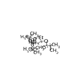 C=C(C)C(=O)OC(CC)C[SiH](O[Si](C)(C)C)O[Si](C)(C)C